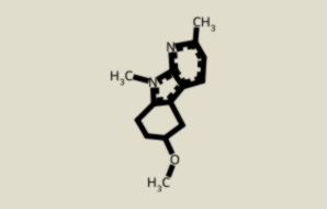 COC1CCc2c(c3ccc(C)nc3n2C)C1